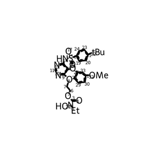 CCN(O)C(=O)OCCOc1ncnc(NS(=O)(=O)c2ccc(C(C)(C)C)cc2)c1Oc1cccc(OC)c1